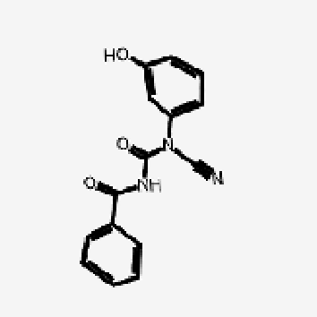 N#CN(C(=O)NC(=O)c1ccccc1)c1cccc(O)c1